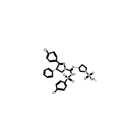 NS(=O)(=O)N1CC[C@@H](/N=C(\NS(=O)(=O)c2ccc(Cl)cc2)N2C[C@H](c3ccccc3)C(c3ccc(Cl)cc3)=N2)C1